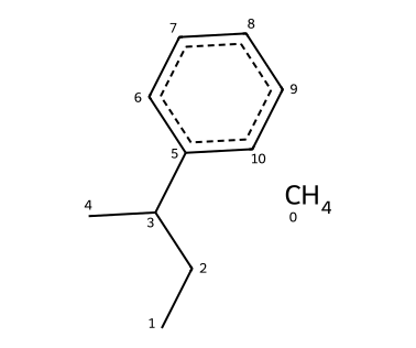 C.CCC(C)c1ccccc1